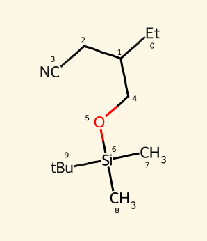 CCC(CC#N)CO[Si](C)(C)C(C)(C)C